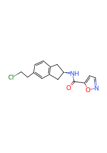 O=C(N[C@@H]1Cc2ccc(CCCl)cc2C1)c1ccno1